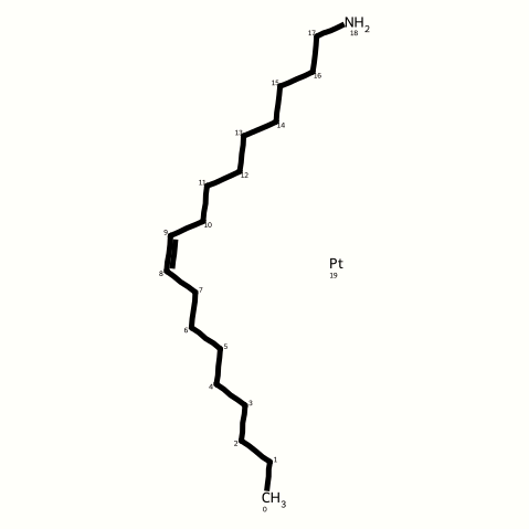 CCCCCCCC/C=C\CCCCCCCCN.[Pt]